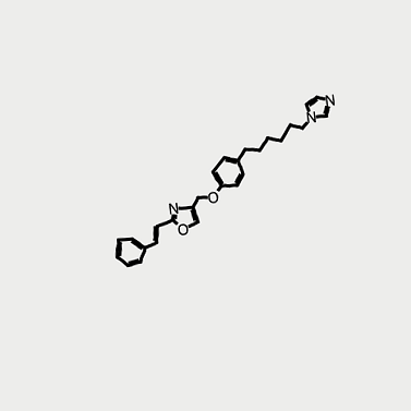 C(=C\c1nc(COc2ccc(CCCCCCn3ccnc3)cc2)co1)/c1ccccc1